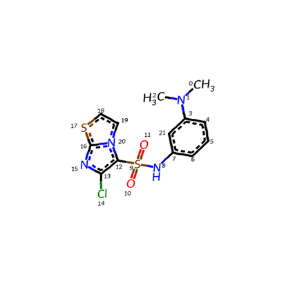 CN(C)c1cccc(NS(=O)(=O)c2c(Cl)nc3sccn23)c1